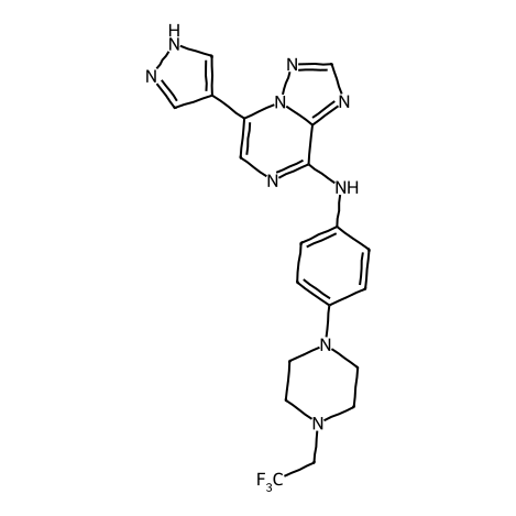 FC(F)(F)CN1CCN(c2ccc(Nc3ncc(-c4cn[nH]c4)n4ncnc34)cc2)CC1